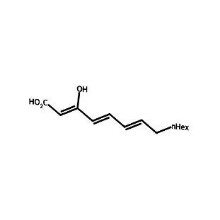 CCCCCCCC=CC=CC(O)=CC(=O)O